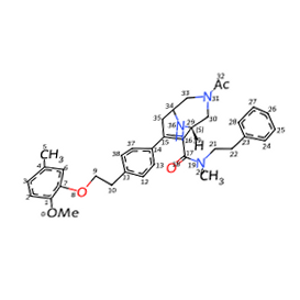 COc1ccc(C)cc1OCCc1ccc(C2=C(C(=O)N(C)CCc3ccccc3)[C@H]3CN(C(C)=O)CC(C2)N3)cc1